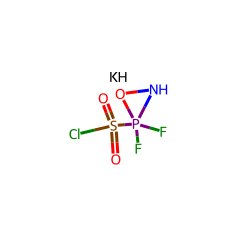 O=S(=O)(Cl)P1(F)(F)NO1.[KH]